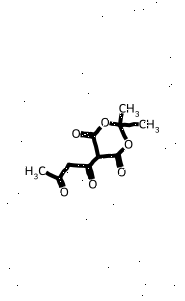 CC(=O)CC(=O)C1C(=O)OC(C)(C)OC1=O